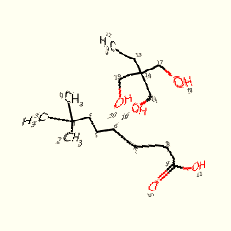 CC(C)(C)CCCCCC(=O)O.CCC(CO)(CO)CO